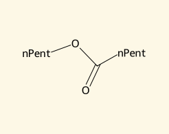 [CH2]CCCCOC(=O)CCCCC